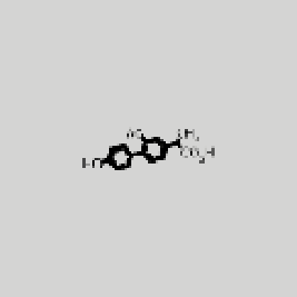 CC(=O)c1cc(C(C)C(=O)O)ccc1-c1ccc(O)cc1